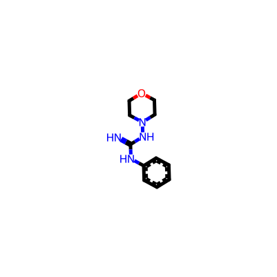 N=C(Nc1ccccc1)NN1CCOCC1